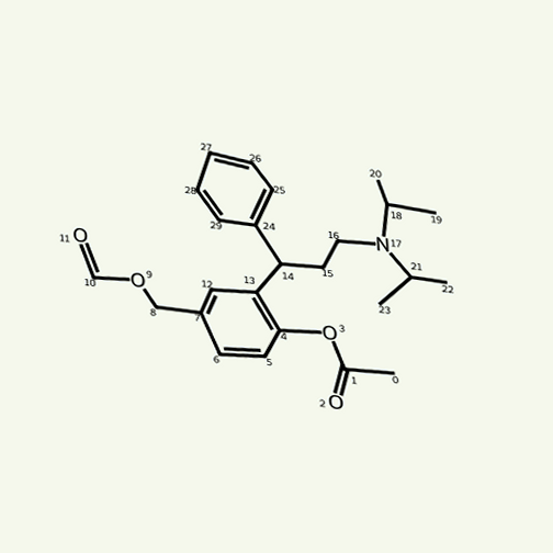 CC(=O)Oc1ccc(COC=O)cc1C(CCN(C(C)C)C(C)C)c1ccccc1